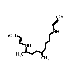 CCCCCCCCC=CNCCCCC(C)CCC(C)NC=CCCCCCCCC